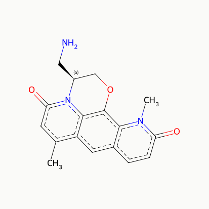 Cc1cc(=O)n2c3c(c4c(ccc(=O)n4C)cc13)OC[C@@H]2CN